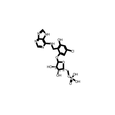 O=P(O)(O)OC[C@H]1OC(Oc2cc(Cl)cc(O)c2CNc2ncnc3nc[nH]c23)[C@H](O)[C@@H]1O